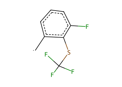 [CH2]c1cccc(F)c1SC(F)(F)F